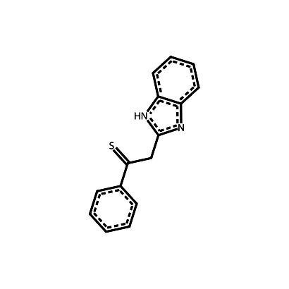 S=C(Cc1nc2ccccc2[nH]1)c1ccccc1